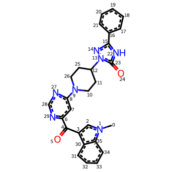 Cn1cc(C(=O)c2cc(N3CCC(n4nc(-c5ccccc5)[nH]c4=O)CC3)ncn2)c2ccccc21